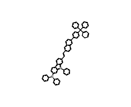 C1=CCCC(C(c2ccccc2)(c2ccccc2)c2ccc(-c3ccc4cc(/C=C/c5ccc6c7ccc(N(c8ccccc8)c8ccccc8)cc7n(-c7ccccc7)c6c5)ccc4c3)cc2)=C1